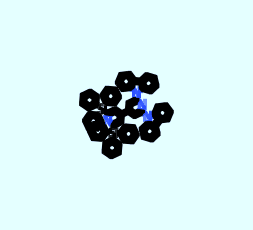 c1ccc([Si](c2ccccc2)(c2ccccc2)c2cc(-c3cc(-n4c5ccccc5c5ccccc54)nc(-n4c5ccccc5c5ccccc54)c3)cc([Si](c3ccccc3)(c3ccccc3)c3ccccc3)n2)cc1